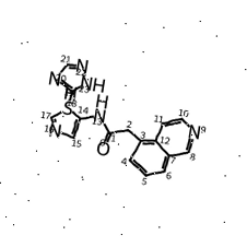 O=C(Cc1cccc2cnccc12)NC1=CN=C[SH]1c1ncn[nH]1